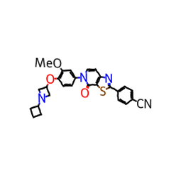 COc1cc(-n2ccc3nc(-c4ccc(C#N)cc4)sc3c2=O)ccc1OC1CN(C2CCC2)C1